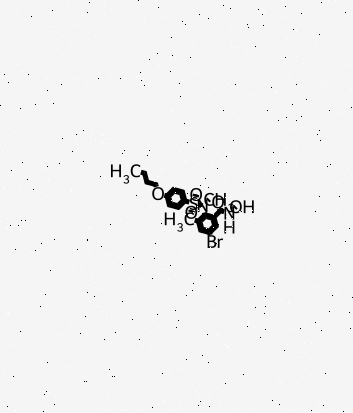 CCCCOc1ccc(S(=O)(=O)N(C)c2c(C)cc(Br)cc2C(=O)NO)cc1